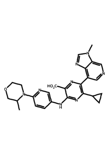 CC1COCCN1c1ccc(Nc2nc(C3CC3)c(-c3cncc4c3ncn4C)nc2C(=O)O)cn1